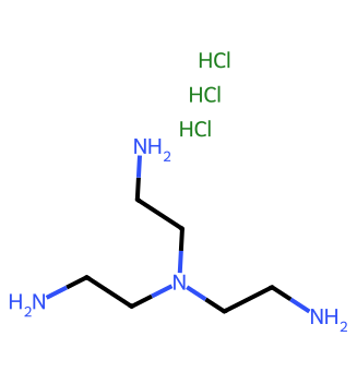 Cl.Cl.Cl.NCCN(CCN)CCN